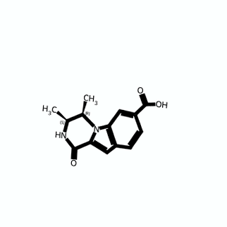 C[C@@H]1NC(=O)c2cc3ccc(C(=O)O)cc3n2[C@@H]1C